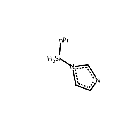 CCC[SiH2]n1ccnc1